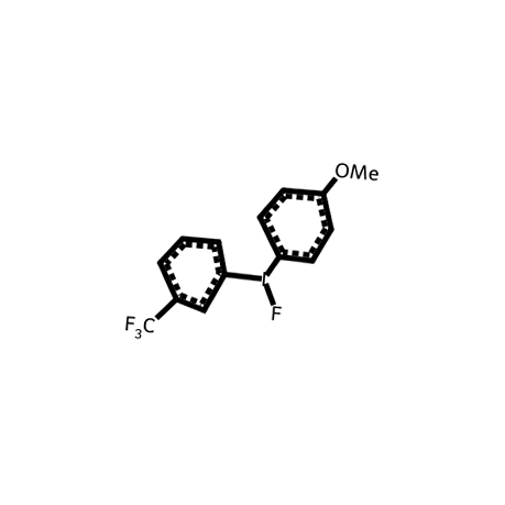 COc1ccc(I(F)c2cccc(C(F)(F)F)c2)cc1